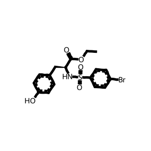 CCOC(=O)[C@H](Cc1ccc(O)cc1)NS(=O)(=O)c1ccc(Br)cc1